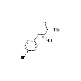 CC(C)(C)C(=O)[C@H](N)Cc1ccc(Br)cc1